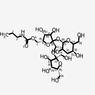 CCCNC(=O)OC[C@H]1O[C@@](CO[C@@]2(CO)O[C@H](CO)[C@H](O)C2O)(O[C@H]2OC(CO)[C@@H](O)CC2O)C(O)[C@H]1O